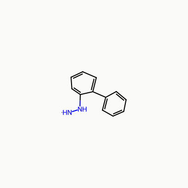 [NH]Nc1ccccc1-c1ccccc1